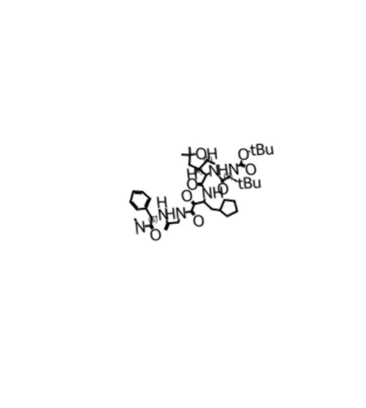 C=C(CNC(=O)C(=O)C(CC1CCCC1)NC(=O)C1[C@H]2CC(C)(C)O[C@H]2CN1C(=O)[C@@H](NC(=O)OC(C)(C)C)C(C)(C)C)N[C@H](C(=O)N(C)C)c1ccccc1